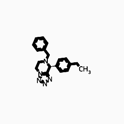 CCc1ccc([C@@H]2c3nnnn3CCN2Cc2ccccc2)cc1